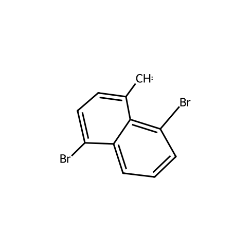 [CH]c1ccc(Br)c2cccc(Br)c12